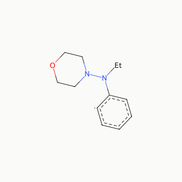 CCN(c1[c]cccc1)N1CCOCC1